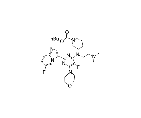 CCCCOC(=O)N1CCCC(N(CCN(C)C)c2nc(-c3cnc4ccc(F)cn34)nc(N3CCOCC3)c2F)C1